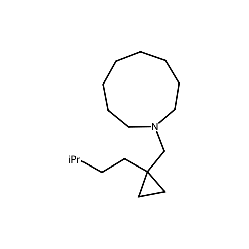 CC(C)CCC1(CN2CCCCCCCC2)CC1